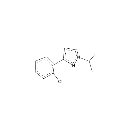 CC(C)n1ccc(-c2ccccc2Cl)n1